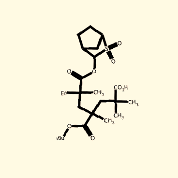 CCC(C)(CC(C)(CC(C)(C)C(=O)O)C(=O)OC(C)(C)C)C(=O)OC1C2CCC(C2)S1(=O)=O